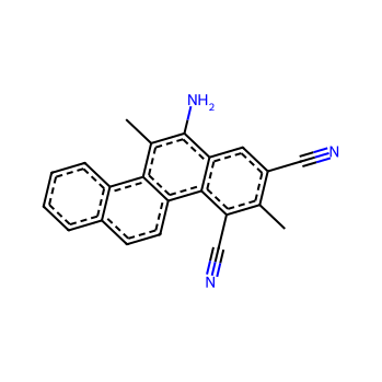 Cc1c(C#N)cc2c(N)c(C)c3c4ccccc4ccc3c2c1C#N